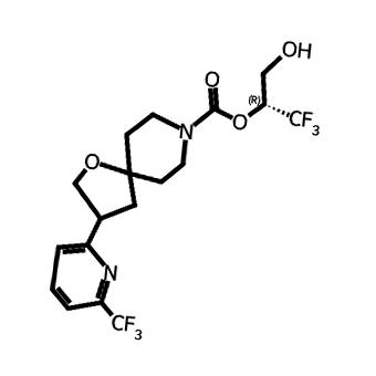 O=C(O[C@H](CO)C(F)(F)F)N1CCC2(CC1)CC(c1cccc(C(F)(F)F)n1)CO2